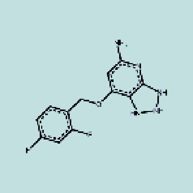 Nc1cc(OCc2ccc(F)cc2F)c2c(n1)NNN2